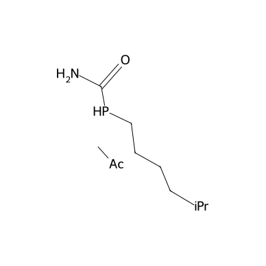 CC(C)=O.CC(C)CCCCPC(N)=O